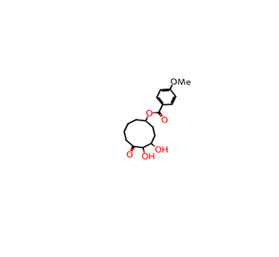 COc1ccc(C(=O)OC2CCCCC(=O)C(O)C(O)CC2)cc1